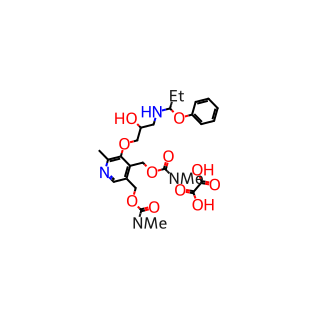 CCC(NCC(O)COc1c(C)ncc(COC(=O)NC)c1COC(=O)NC)Oc1ccccc1.O=C(O)C(=O)O